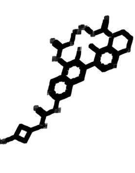 COC1CC(NC(=O)Nc2cc3cc(-c4cnc5c(c4C)N(C(=O)OC(C)(C)C)CCO5)c(F)c(NC(=O)OC(C)(C)C)c3cn2)C1